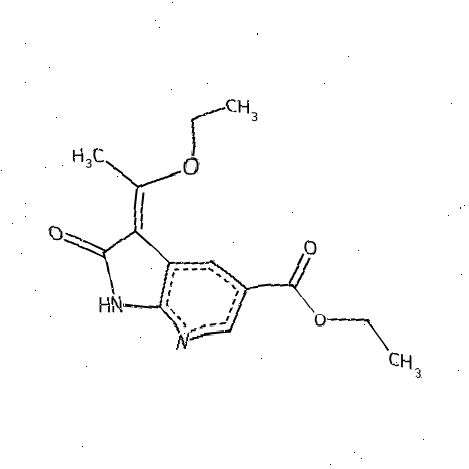 CCOC(=O)c1cnc2c(c1)C(=C(C)OCC)C(=O)N2